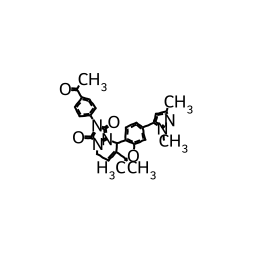 CC(=O)c1ccc(-n2c(=O)n3n(c2=O)C2C(=CC3)C(C)(C)Oc3cc(-c4cc(C)nn4C)ccc32)cc1